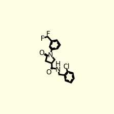 O=C(NCc1ccccc1Cl)C1CC(=O)N(c2cccc(C(F)F)c2)C1